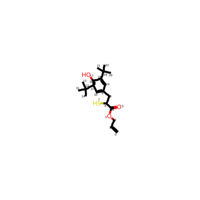 C=CCOC(=O)C(S)Cc1cc(C(C)(C)C)c(O)c(C(C)(C)C)c1